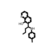 CCCC(Nc1ccc(C)cc1)c1ccc2cccnc2c1O